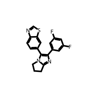 Fc1cc(F)cc(-c2nc3n(c2-c2ccc4ncsc4c2)CCC3)c1